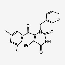 Cc1cc(C)cc(C(=O)c2c(C(C)C)c(=O)[nH]c(=O)n2Cc2ccccc2)c1